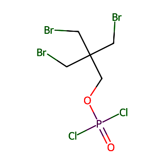 O=P(Cl)(Cl)OCC(CBr)(CBr)CBr